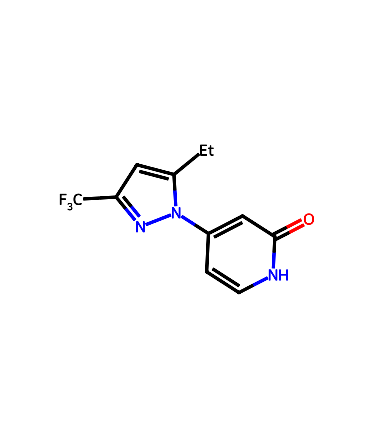 CCc1cc(C(F)(F)F)nn1-c1cc[nH]c(=O)c1